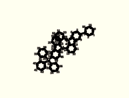 c1ccc(-c2ccc3c(c2)c2cccc(-n4c5ccccc5c5cc([Si](c6ccccc6)(c6ccccc6)c6ccccc6)ccc54)c2n3-c2ccccc2)cc1